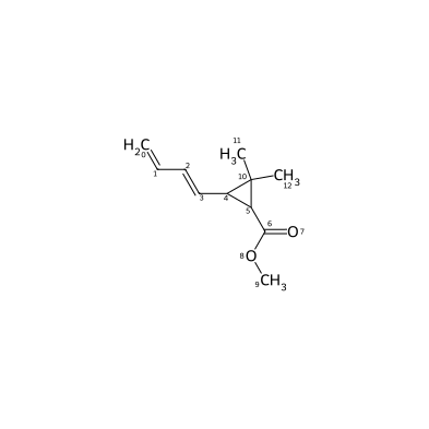 C=C/C=C/C1C(C(=O)OC)C1(C)C